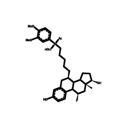 CCCCCCCC[N+](CCCCC[C@@H]1Cc2cc(O)ccc2C2C1C1CC[C@H](O)[C@@]1(C)C[C@@H]2F)(C(C)=O)c1ccc(OC)c(OC)c1